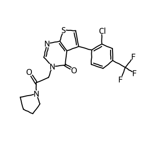 O=C(Cn1cnc2scc(-c3ccc(C(F)(F)F)cc3Cl)c2c1=O)N1CCCC1